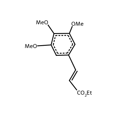 CCOC(=O)C=Cc1cc(OC)c(OC)c(OC)c1